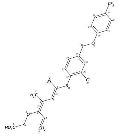 C=C/C(OCC(=O)O)=C(C)\C=C(/CC)Sc1ccc(COc2ccc(C(F)(F)F)cc2)cc1Cl